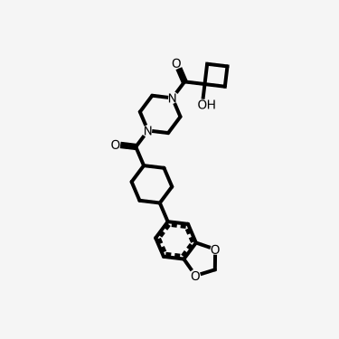 O=C(C1CCC(c2ccc3c(c2)OCO3)CC1)N1CCN(C(=O)C2(O)CCC2)CC1